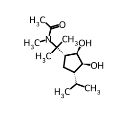 CC(=O)N(C)C(C)(C)[C@H]1C[C@@H](C(C)C)[C@H](O)[C@@H]1O